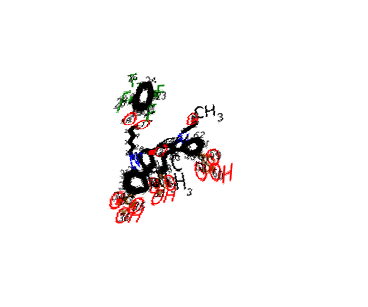 COCCN1/C(=C/C=C/C2=[N+](CCCCCC(=O)Oc3c(F)c(F)cc(F)c3F)c3ccc(S(=O)(=O)O)cc3C2(C)CCOC)C(C)(CCCS(=O)(=O)O)c2cc(S(=O)(=O)O)ccc21